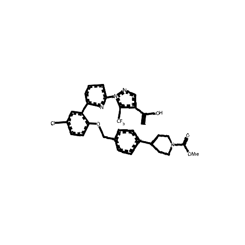 C=C(O)c1cnn(-c2cccc(-c3cc(Cl)ccc3OCc3ccc(C4CCN(C(=O)OC)CC4)cc3)n2)c1C(F)(F)F